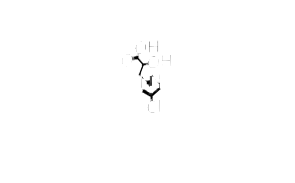 O=C(O)C(O)Cn1cc(Cl)cn1